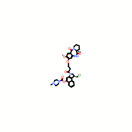 COc1cc2c(cc1OCCCC(=O)N1C[C@@H](CCl)c3c1cc(OC(=O)N1CCN(C)CC1)c1ccccc31)NC(=O)[C@@H]1CCCCN1C2=O